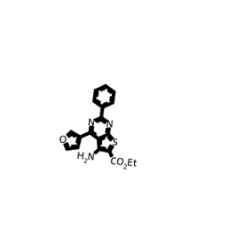 CCOC(=O)c1sc2nc(-c3ccccc3)nc(-c3ccoc3)c2c1N